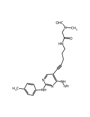 CCCNc1nc(Nc2ccc(C)cc2)ncc1C#CCCCNC(=O)CN(C)C=O